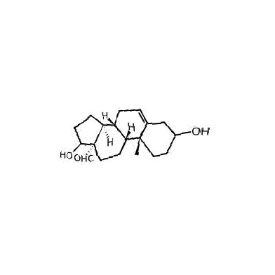 C[C@]12CCC(O)CC1=CC[C@@H]1[C@H]2CC[C@@]2(C=O)C(O)CC[C@@H]12